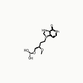 COC(CCN1CNc2c1cc[nH]c2=O)COP(O)O